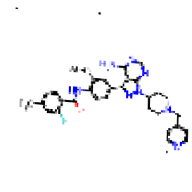 COc1cc(-c2nn(C3CCN(Cc4ccncc4)CC3)c3ncnc(N)c23)ccc1NC(=O)c1ccc(C(F)(F)F)cc1F